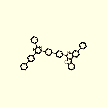 c1ccc(-c2ccc(-c3cc(-c4ccc(-c5ccc(-c6nc7cc(-c8ccccc8)ccc7c7c6oc6ccccc67)cc5)cc4)nc(-c4ccccc4)n3)cc2)cc1